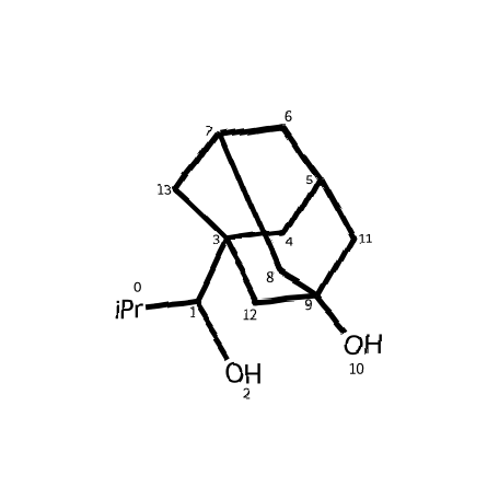 CC(C)C(O)C12CC3CC(CC(O)(C3)C1)C2